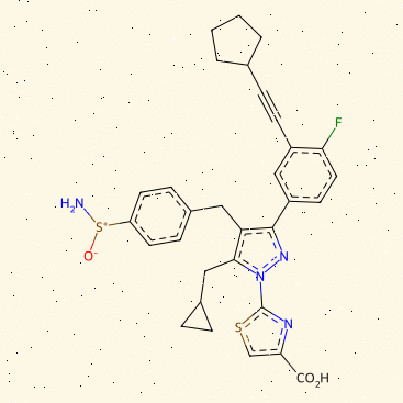 N[S+]([O-])c1ccc(Cc2c(-c3ccc(F)c(C#CC4CCCC4)c3)nn(-c3nc(C(=O)O)cs3)c2CC2CC2)cc1